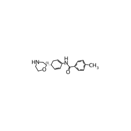 Cc1ccc(C(=O)NC2=CCC([C@H]3CNCCO3)C=C2)cc1